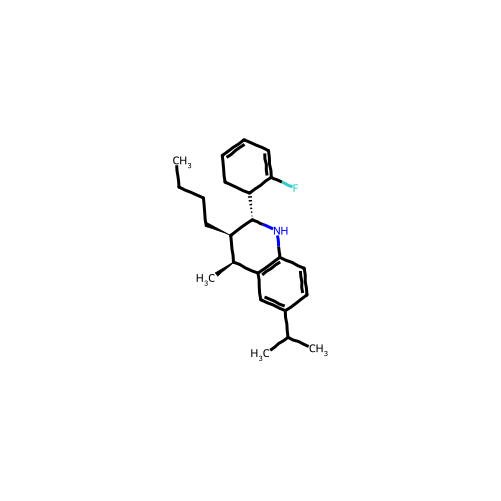 CCCC[C@@H]1[C@H](C)c2cc(C(C)C)ccc2N[C@H]1C1CC=CC=C1F